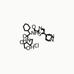 O=C(N[C@H](C(=O)N1C[C@H](Cl)[C@H]2OCC(=O)[C@H]21)C1CCCCC1)c1ncc(-c2ccnnc2)s1